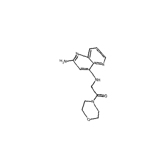 Nc1cc(NCC(=O)N2CCOCC2)c2ncccc2n1